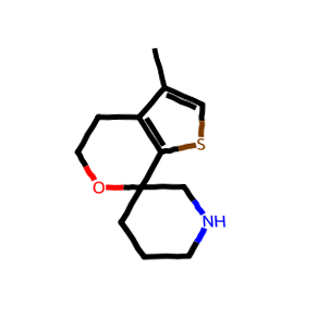 Cc1csc2c1CCOC21CCCNC1